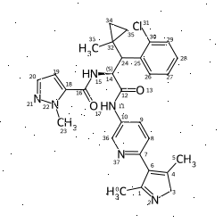 CC1=NCC(C)=C1c1ccc(NC(=O)[C@@H](NC(=O)c2ccnn2C)C(c2ccccc2Cl)C2(C)CC2)cn1